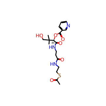 CC(=O)SCCNC(=O)CCNC(=O)[C@H](OC(=O)c1cccnc1)C(C)(C)CO